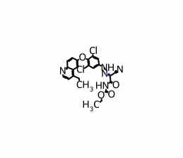 CCOC(=O)NC(=O)/C(C#N)=N/Nc1cc(Cl)c(Oc2ccc3nccc(CC)c3c2)c(Cl)c1